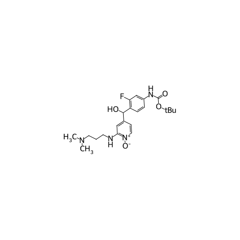 CN(C)CCCNc1cc(C(O)c2ccc(NC(=O)OC(C)(C)C)cc2F)cc[n+]1[O-]